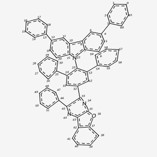 c1ccc(-c2ccc3c(c2)c2cc(-c4ccccc4)ccc2n3-c2c(-c3ccccc3)cc(-c3nc4oc5ccccc5c4nc3-c3ccccc3)cc2-c2ccccc2)cc1